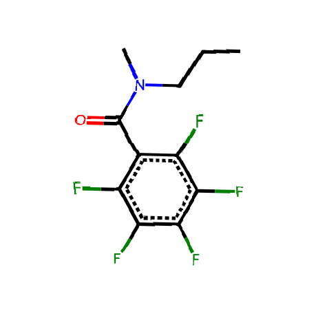 CCCN(C)C(=O)c1c(F)c(F)c(F)c(F)c1F